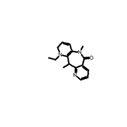 CCN1CC=CC2=C1C(C)c1ncccc1C(=O)N2C